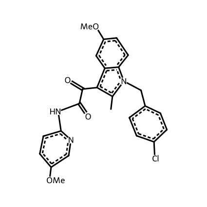 COc1ccc(NC(=O)C(=O)c2c(C)n(Cc3ccc(Cl)cc3)c3ccc(OC)cc23)nc1